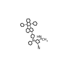 CC(=N)c1cc(C#N)cc(N(c2ccccc2)c2ccc(-c3ccc4c5c(cccc35)-c3c-4c(-c4ccccc4)c4ccccc4c3-c3ccccc3)cc2)c1